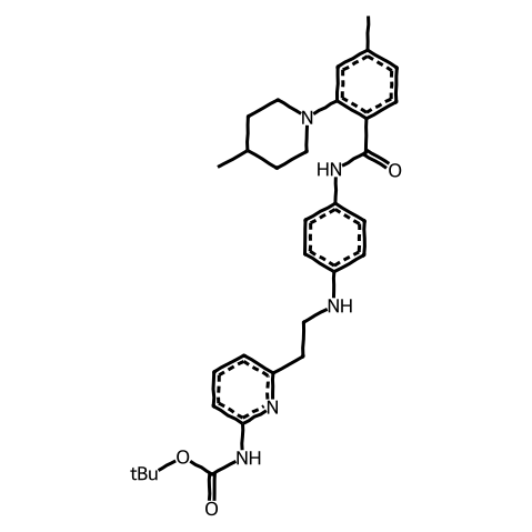 Cc1ccc(C(=O)Nc2ccc(NCCc3cccc(NC(=O)OC(C)(C)C)n3)cc2)c(N2CCC(C)CC2)c1